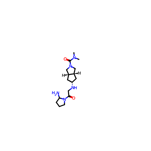 CN(C)C(=O)N1C[C@H]2C[C@@H](NCC(=O)N3CCCC3N)C[C@H]2C1